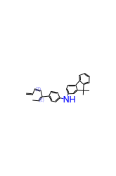 C=C/C=C\C(=C/C)c1ccc(Nc2ccc3c(c2)C(C)(C)c2ccccc2-3)cc1